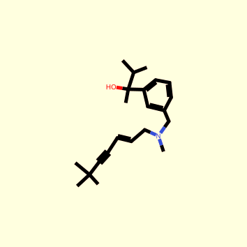 CC(C)C(C)(O)c1cccc(CN(C)CC=CC#CC(C)(C)C)c1